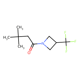 CC(C)(C)CC(=O)N1CC(C(F)(F)F)C1